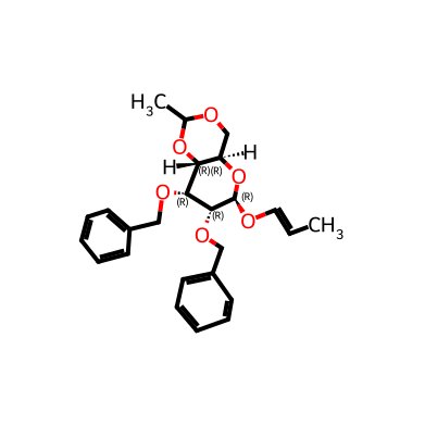 CC=CO[C@@H]1O[C@@H]2COC(C)O[C@H]2[C@@H](OCc2ccccc2)[C@H]1OCc1ccccc1